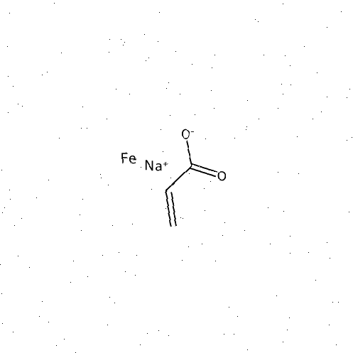 C=CC(=O)[O-].[Fe].[Na+]